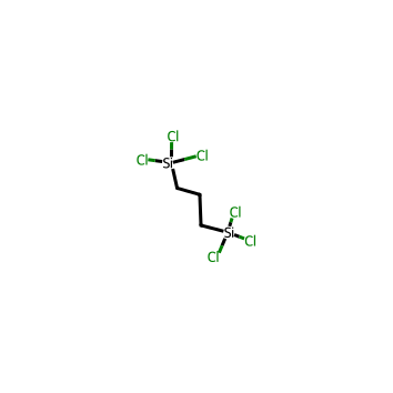 Cl[Si](Cl)(Cl)CCC[Si](Cl)(Cl)Cl